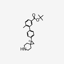 Cc1ccc(C(=O)OC(C)(C)C)cc1-c1ccc([C@H]2CC23CCNCC3)cc1